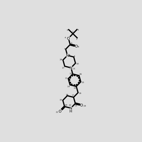 CC(C)(C)OC(=O)CN1CCN(c2ccc(CC3CCC(=O)NC3=O)cc2)CC1